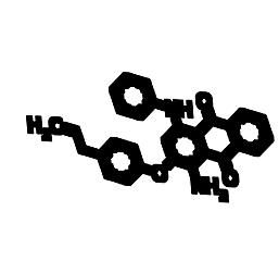 C=CCc1ccc(Oc2cc(Nc3ccccc3)c3c(c2N)C(=O)c2ccccc2C3=O)cc1